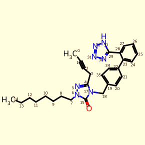 CC#CCc1nn(CCCCCCCC)c(=O)n1Cc1ccc(-c2ccccc2-c2nnn[nH]2)cc1